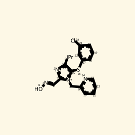 CC(C)c1nc(C=NO)n(Cc2ccccn2)c1Sc1cccc(Cl)c1